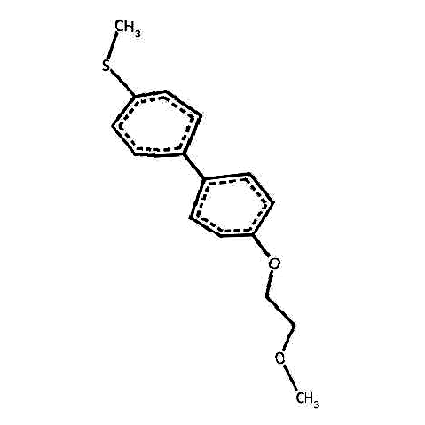 COCCOc1ccc(-c2ccc(SC)cc2)cc1